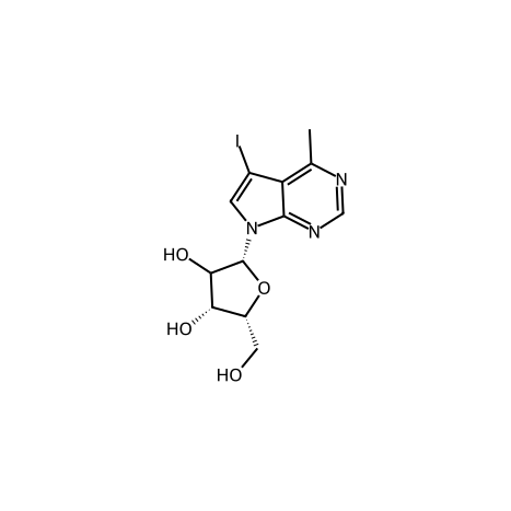 Cc1ncnc2c1c(I)cn2[C@@H]1O[C@H](CO)[C@H](O)C1O